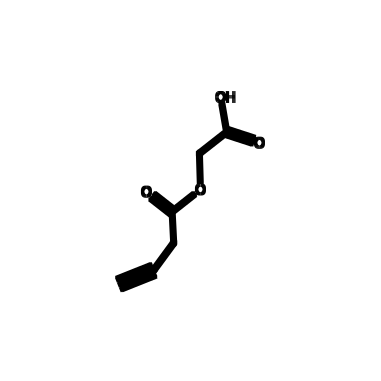 C#CCC(=O)OCC(=O)O